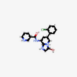 O=C(Nc1cc(-c2ccccc2Cl)cn2c(Br)cnc12)c1cccnc1